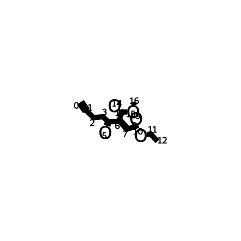 C#CCCC(=O)C(=CC(=O)OCC)C(=O)OC